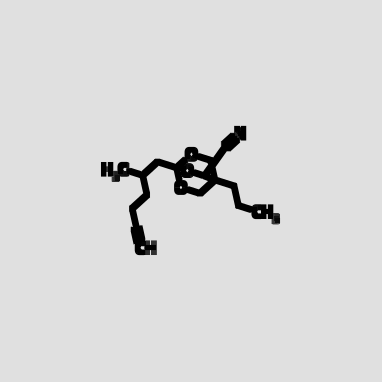 C#CCCC(C)CC12OCC(CCC)(CO1)C(C#N)O2